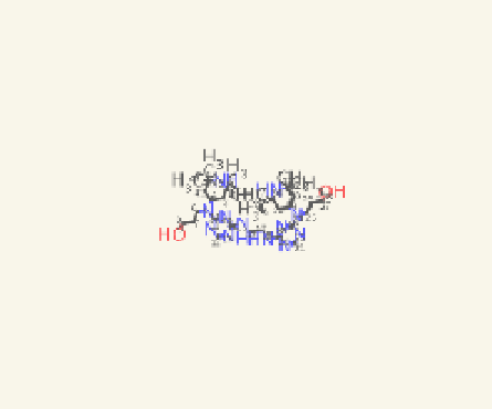 CC1(C)CC(N(CCCO)c2ncnc(NCCNc3ncnc(N(CCCO)C4CC(C)(C)NC(C)(C)C4)n3)n2)CC(C)(C)N1